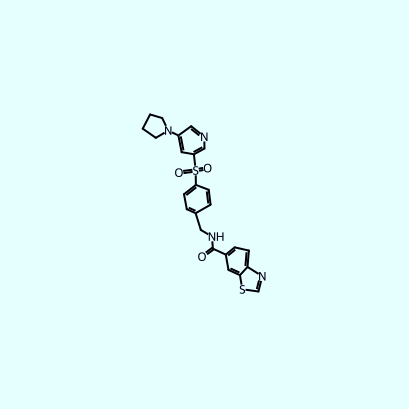 O=C(NCc1ccc(S(=O)(=O)c2cncc(N3CCCC3)c2)cc1)c1ccc2ncsc2c1